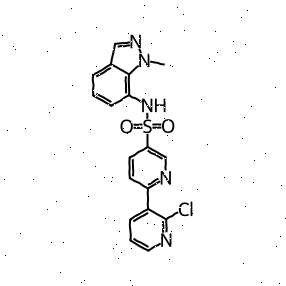 Cn1ncc2cccc(NS(=O)(=O)c3ccc(-c4cccnc4Cl)nc3)c21